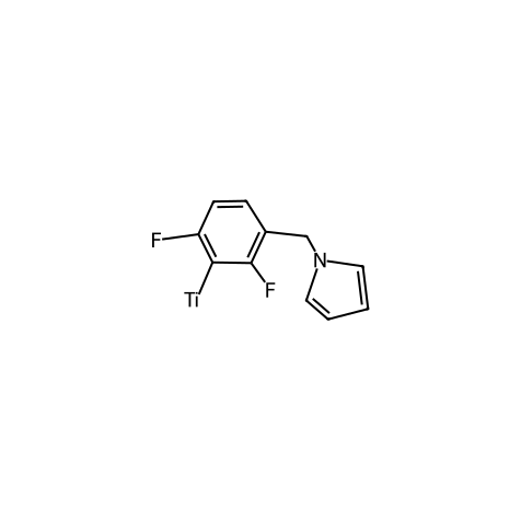 Fc1ccc(Cn2cccc2)c(F)[c]1[Ti]